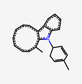 CC1=CCC(n2c3ccccc3c3cccccccc(C)c32)C=C1